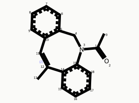 CC(=O)N1Cc2ccccc2/C=C(/C)c2ccccc21